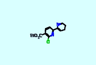 CCOC(=O)c1ccc(C2=CCCC=N2)nc1Cl